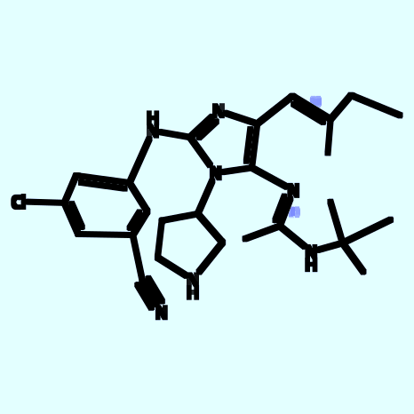 CC/C(C)=C/c1nc(Nc2cc(Cl)cc(C#N)c2)n(C2CCNC2)c1/N=C(\C)NC(C)(C)C